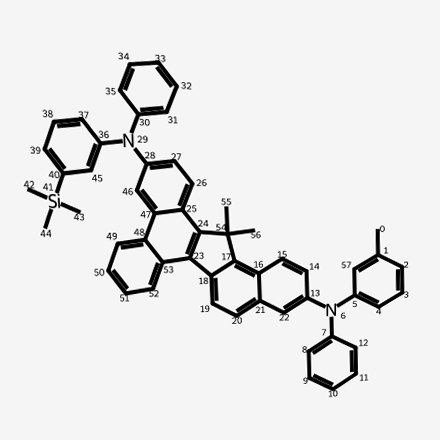 Cc1cccc(N(c2ccccc2)c2ccc3c4c(ccc3c2)-c2c(c3ccc(N(c5ccccc5)c5cccc([Si](C)(C)C)c5)cc3c3ccccc23)C4(C)C)c1